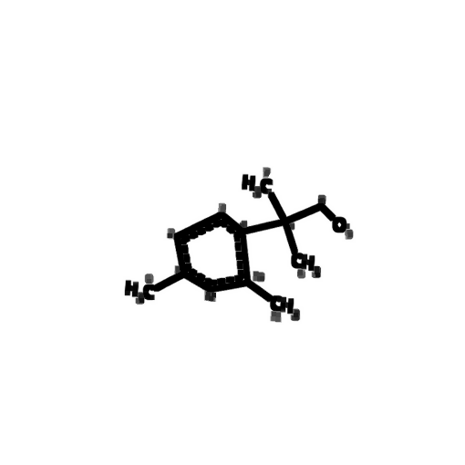 Cc1ccc(C(C)(C)C[O])c(C)c1